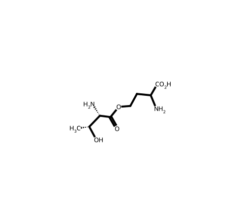 C[C@@H](O)[C@H](N)C(=O)OCCC(N)C(=O)O